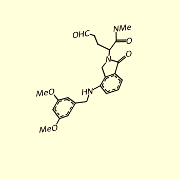 CNC(=O)C(CCC=O)N1Cc2c(NCc3cc(OC)cc(OC)c3)cccc2C1=O